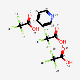 O=C(O)C(F)(F)F.O=C(O)C(F)(F)F.O=C(O)C(F)(F)F.c1ccncc1